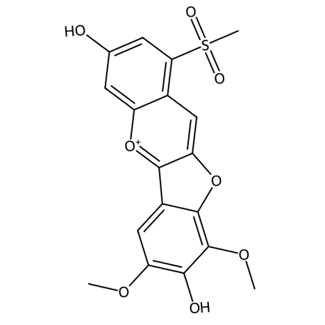 COc1cc2c(oc3cc4c(S(C)(=O)=O)cc(O)cc4[o+]c32)c(OC)c1O